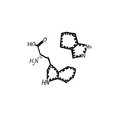 N[C@@H](Cc1c[nH]c2ccccc12)C(=O)O.c1ccc2[nH]ncc2c1